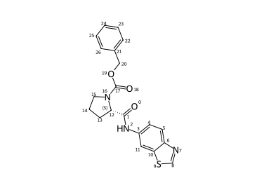 O=C(Nc1ccc2ncsc2c1)[C@@H]1CCCN1C(=O)OCc1ccccc1